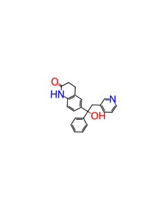 O=C1CCc2cc(C(O)(Cc3cccnc3)c3ccccc3)ccc2N1